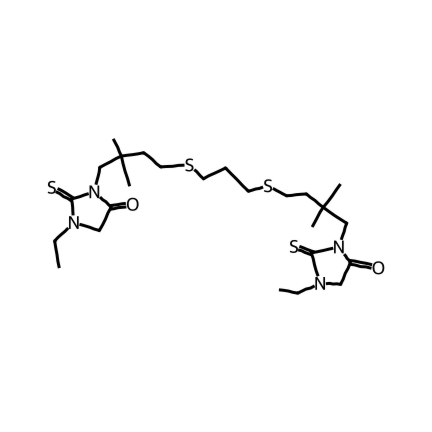 CCN1CC(=O)N(CC(C)(C)CCSCCCSCCC(C)(C)CN2C(=O)CN(CC)C2=S)C1=S